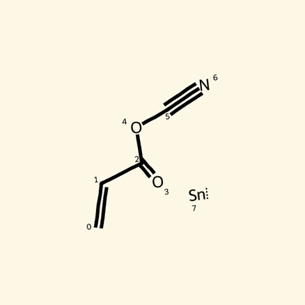 C=CC(=O)OC#N.[Sn]